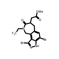 COC(=O)CC1Cc2cc(Br)c3[nH]nc(Br)c3c2CN(CC(F)(F)F)C1=O